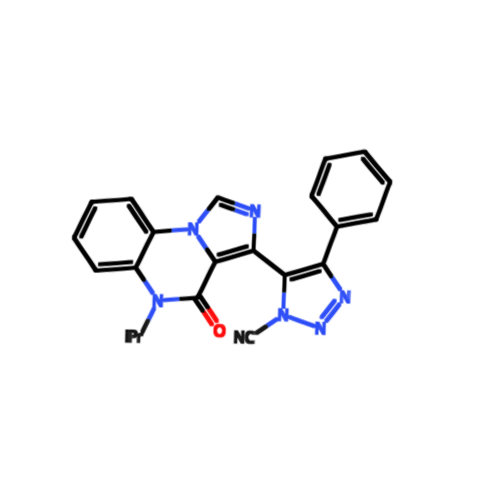 CC(C)n1c(=O)c2c(-c3c(-c4ccccc4)nnn3C#N)ncn2c2ccccc21